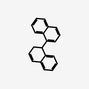 C1=Cc2ccccc2C(c2cccc3ccccc23)C1